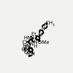 CCc1cc(Nc2nc(Nc3ccc4nccnc4c3P(C)(C)=O)c(Cl)c3[nH]cnc23)c(OC)cc1N1CCC(N2CCN(C)CC2)CC1